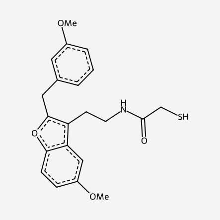 COc1cccc(Cc2oc3ccc(OC)cc3c2CCNC(=O)CS)c1